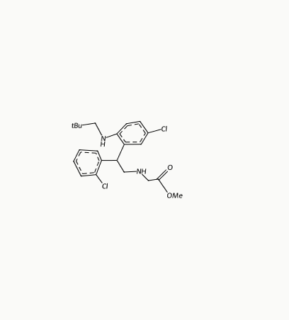 COC(=O)CNCC(c1ccccc1Cl)c1cc(Cl)ccc1NCC(C)(C)C